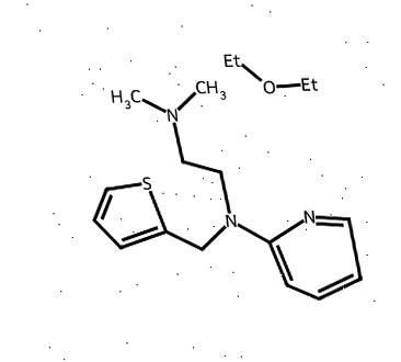 CCOCC.CN(C)CCN(Cc1cccs1)c1ccccn1